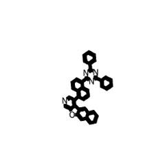 c1ccc(-c2nc(-c3ccccc3)nc(-c3cccc4c(-c5cncc6oc7cc8ccccc8cc7c56)cccc34)n2)cc1